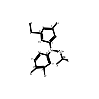 CCc1cc(C)cc(N(NC(C)C)c2ccc(C)c(C)c2)c1